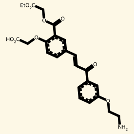 CCOC(=O)COC(=O)c1cc(C=CC(=O)c2cccc(OCCN)c2)ccc1OCC(=O)O